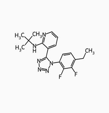 CCc1ccc(-n2nnnc2-c2cccnc2NC(C)(C)C)c(F)c1F